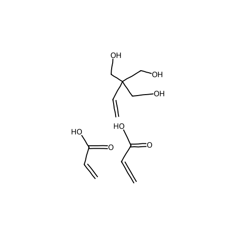 C=CC(=O)O.C=CC(=O)O.C=CC(CO)(CO)CO